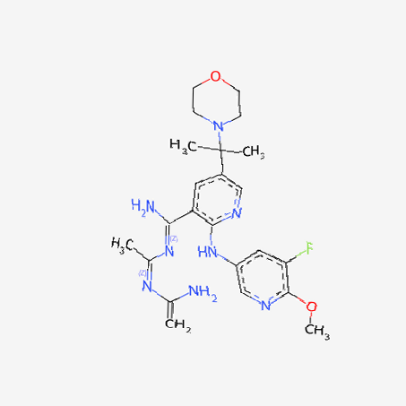 C=C(N)/N=C(C)\N=C(/N)c1cc(C(C)(C)N2CCOCC2)cnc1Nc1cnc(OC)c(F)c1